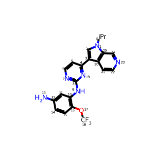 CC(C)n1cc(-c2ccnc(Nc3cc(N)ccc3OC(F)(F)F)n2)c2ccncc21